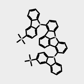 C[Si](C)(C)c1ccc2c(c1)c1ccccc1n2-c1cccc2c1c1cccc3c4c(-n5c6ccccc6c6cc([Si](C)(C)C)ccc65)cccc4n2c13